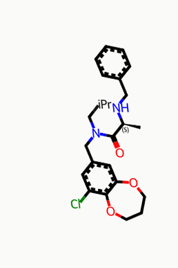 CC(C)CN(Cc1cc(Cl)c2c(c1)OCCCO2)C(=O)[C@H](C)NCc1ccccc1